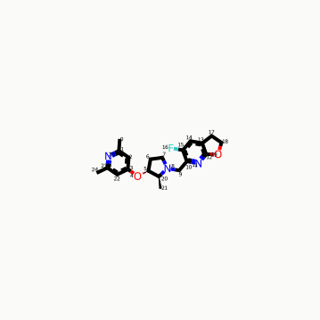 Cc1cc(O[C@@H]2CCN(Cc3nc4c(cc3F)CCO4)[C@H]2C)cc(C)n1